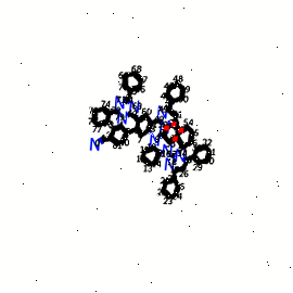 N#Cc1ccc(-c2cc(N3c4ccccc4N(c4nc(-c5ccccc5)cc(-c5ccccc5)n4)c4ccccc43)c(-c3nc(-c4ccccc4)cc(-c4ccccc4)n3)cc2-c2nc(-c3ccccc3)nc(-c3ccccc3)n2)cc1